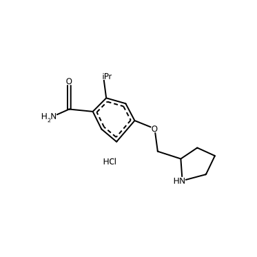 CC(C)c1cc(OCC2CCCN2)ccc1C(N)=O.Cl